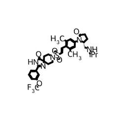 Cc1cc(N2C(=O)CC[C@@H]2CNC(C)C)cc(C)c1C=CS(=O)(=O)N1CCC2(CC1)N=C(c1cccc(OC(F)(F)F)c1)NC2=O